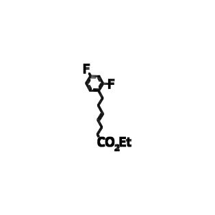 CCOC(=O)CCC=CCCc1ccc(F)cc1F